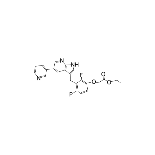 CCOC(=O)COc1ccc(F)c(Cc2c[nH]c3ncc(-c4cccnc4)cc23)c1F